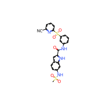 CS(=O)(=O)Nc1ccc2cc(C(=O)Nc3cccc(S(=O)(=O)c4cccc(C#N)n4)c3)[nH]c2c1